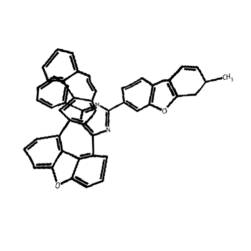 CC1C=Cc2c(oc3cc(-c4nc(-c5ccccc5)nc(-c5cccc6oc7cccc(-c8ccc9ccc%10ccccc%10c9c8)c7c56)n4)ccc23)C1